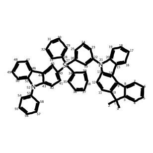 CC1(C)c2ccccc2-c2c1ccc1c2c2ccccc2n1-c1cccc([Si](c2ccccc2)(c2ccccc2)c2ccc3c(c2)c2ccccc2n3-c2ccccc2)c1